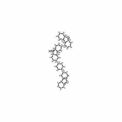 c1ccc2c(c1)oc1ccc(-c3ccc(-c4ccc5[nH]c6ccc(-c7cccc8oc9ccccc9c78)cc6c5c4)cc3)cc12